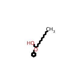 CCCCCCCCCCCCC(CCO)OCc1ccccc1